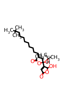 CC(=O)OC(CCCCCCCCCCCC(C)(C)C)(O[SiH](C)C)C1=CC(=O)OC1O